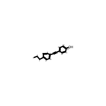 CCCc1ccc(C#Cc2ccc(O)cc2)cc1